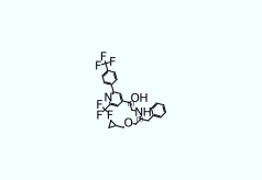 O[C@H](CN[C@H](COCC1CC1)Cc1ccccc1)c1cc(-c2ccc(C(F)(F)F)cc2)nc(C(F)(F)F)c1